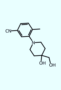 [C-]#[N+]c1ccc(C)c(N2CCC(O)(CO)CC2)c1